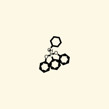 c1ccc(O[PH](Oc2ccccc2)(OC2CCCCC2)c2ccccc2)cc1